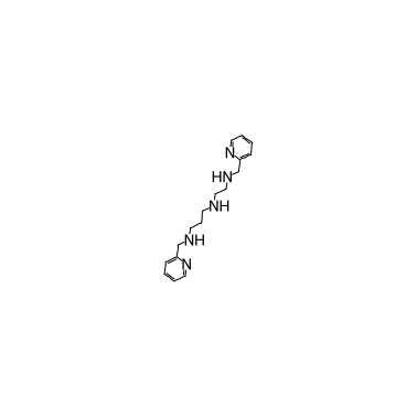 c1ccc(CNCCCNCCNCc2ccccn2)nc1